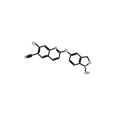 N#Cc1cc2ccc(Oc3ccc4c(c3)COB4O)nc2cc1Cl